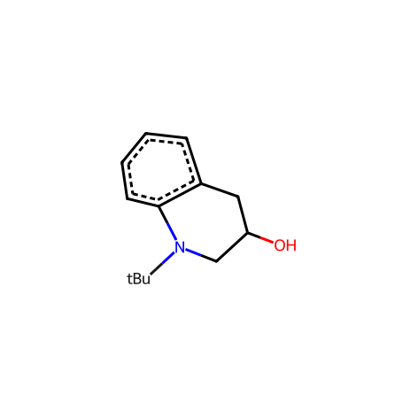 CC(C)(C)N1CC(O)Cc2ccccc21